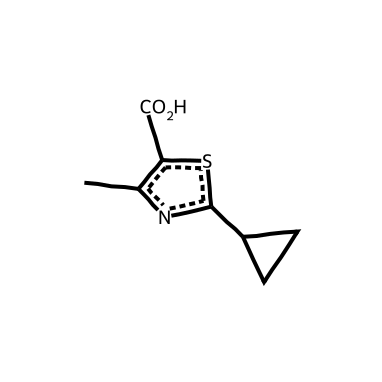 Cc1nc(C2CC2)sc1C(=O)O